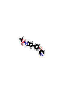 CC(C)(C)OC(=O)N1CC2C=C(c3ccc(Oc4ccncc4)cc3)CC2C1